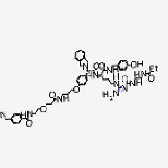 CCC(=O)NCCNC(=O)/N=C(/N)NCCC[C@@H](NC(=O)[C@H](c1ccc(OCCCNC(=O)CCOCCNC(=O)c2ccc(CN)cc2)cc1)N1Cc2ccccc2C1)C(=O)NCc1ccc(O)cc1